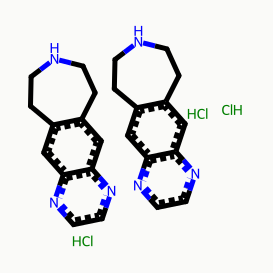 Cl.Cl.Cl.c1cnc2cc3c(cc2n1)CCNCC3.c1cnc2cc3c(cc2n1)CCNCC3